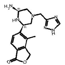 Cc1c([C@@H]2CN(Cc3nc[nH]n3)C[C@H](N)N2)ccc2c1COC2=O